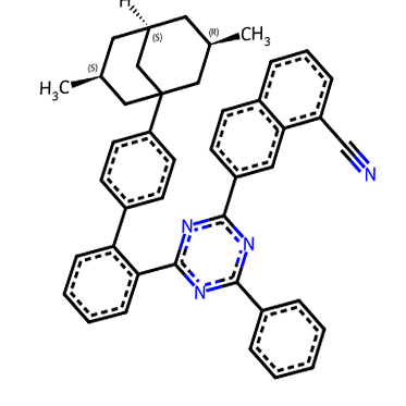 C[C@@H]1C[C@@H]2C[C@H](C)CC(c3ccc(-c4ccccc4-c4nc(-c5ccccc5)nc(-c5ccc6cccc(C#N)c6c5)n4)cc3)(C1)C2